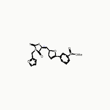 CO[N+](=O)c1cccc(C2=CCC(/C=C3/SC(=S)N(Cc4ccco4)C3=O)O2)c1